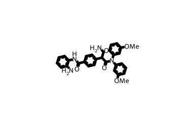 COc1cccc(N(C(=O)C(C(N)=O)c2ccc(C(=O)Nc3ccccc3N)cc2)c2cccc(OC)c2)c1